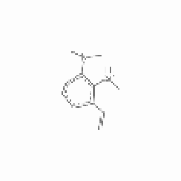 C=Cc1cccc(N(C)C)c1[SiH2]C